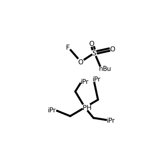 CC(C)C[PH](CC(C)C)(CC(C)C)CC(C)C.CCCCS(=O)(=O)OF